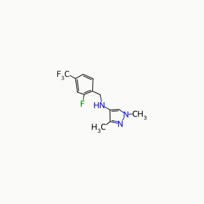 Cc1nn(C)cc1NCc1ccc(C(F)(F)F)cc1F